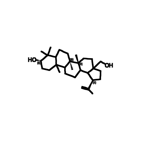 C=C(C)[C@@H]1CCC2(CO)CC[C@]3(C)C(CCC4C5(C)CC[C@H](O)C(C)(C)C5CC[C@]43C)C12